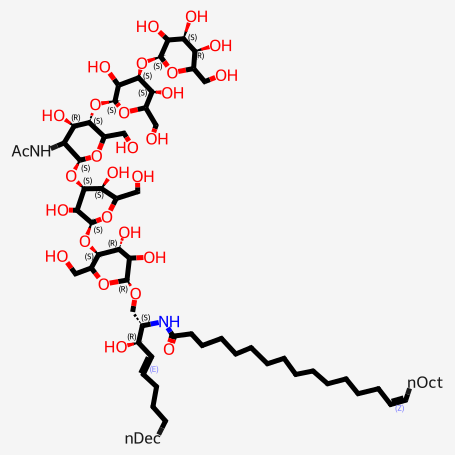 CCCCCCCC/C=C\CCCCCCCCCCCCCC(=O)N[C@@H](CO[C@@H]1OC(CO)[C@@H](O[C@@H]2OC(CO)[C@H](O)[C@H](O[C@@H]3OC(CO)[C@@H](O[C@@H]4OC(CO)[C@H](O)[C@H](O[C@@H]5OC(CO)[C@H](O)[C@H](O)C5O)C4O)[C@H](O)C3NC(C)=O)C2O)[C@H](O)C1O)[C@H](O)/C=C/CCCCCCCCCCCCC